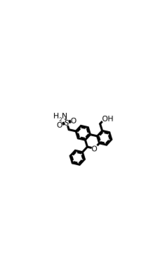 NS(=O)(=O)Cc1ccc2c(c1)C(c1ccccc1)Oc1cccc(CO)c1-2